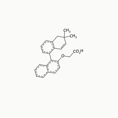 CC1(C)C=Cc2c(cccc2-c2c(OCC(=O)O)ccc3ccccc23)C1